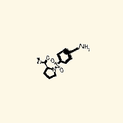 COC(=O)[C@@H]1CCCN1S(=O)(=O)c1ccc(N)cc1